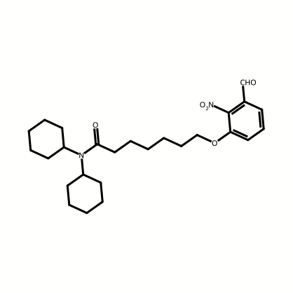 O=Cc1cccc(OCCCCCCC(=O)N(C2CCCCC2)C2CCCCC2)c1[N+](=O)[O-]